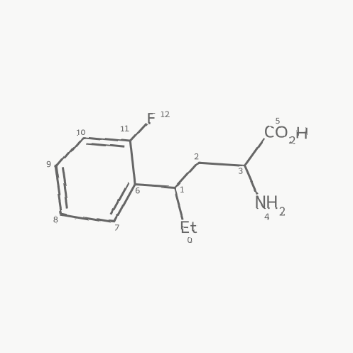 CCC(CC(N)C(=O)O)c1ccccc1F